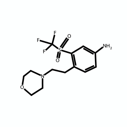 Nc1ccc(CCN2CCOCC2)c(S(=O)(=O)C(F)(F)F)c1